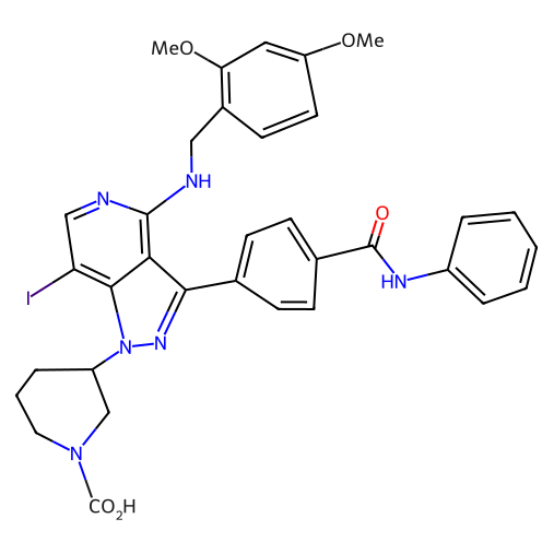 COc1ccc(CNc2ncc(I)c3c2c(-c2ccc(C(=O)Nc4ccccc4)cc2)nn3C2CCCN(C(=O)O)C2)c(OC)c1